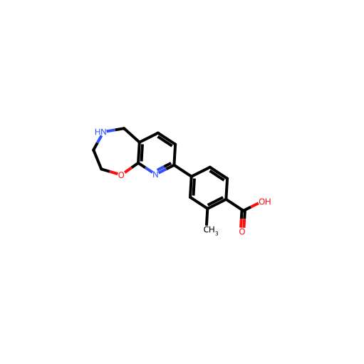 Cc1cc(-c2ccc3c(n2)OCCNC3)ccc1C(=O)O